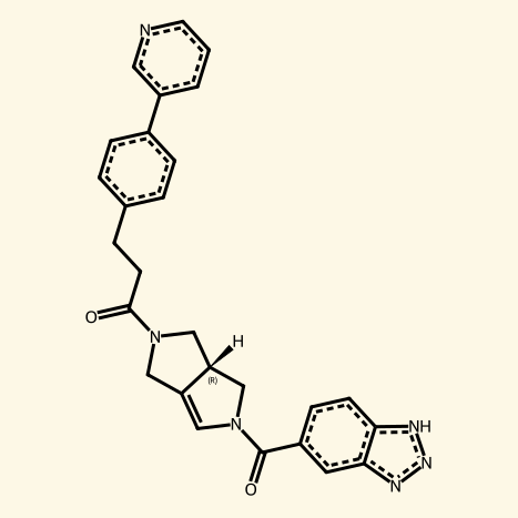 O=C(c1ccc2[nH]nnc2c1)N1C=C2CN(C(=O)CCc3ccc(-c4cccnc4)cc3)C[C@@H]2C1